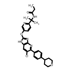 CCC(=O)NC(C)(C)c1ccc(Oc2nc3nc(-c4ccc(C5CCOCC5)cc4)c(Cl)cc3[nH]2)cn1